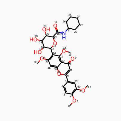 COc1ccc(-c2cc(=O)c3c(OC)c(C4OC(C(=O)NC5CCCCC5)C(O)C(O)C4O)c(OC)cc3o2)cc1OC